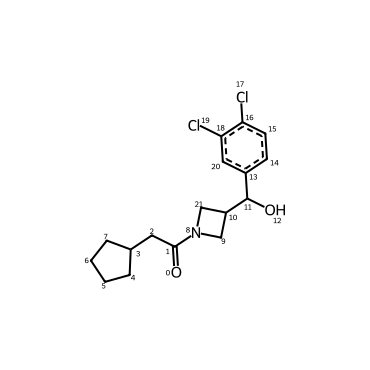 O=C(CC1CCCC1)N1CC(C(O)c2ccc(Cl)c(Cl)c2)C1